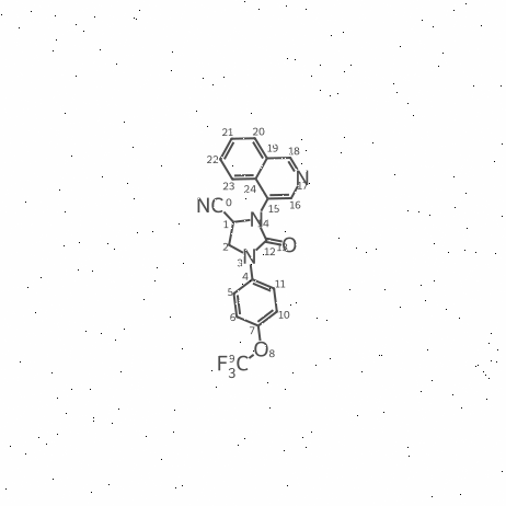 N#CC1CN(c2ccc(OC(F)(F)F)cc2)C(=O)N1c1cncc2ccccc12